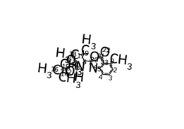 Cc1cccc2nc(C(NC(=O)OC(C)(C)C)C(C)C)oc(=O)c12